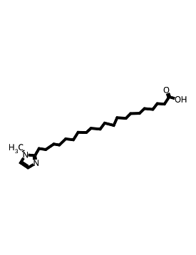 Cn1ccnc1CCCCCCCCCCCCCCCCCCCCC(=O)O